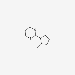 CC1CCC[C]1C1SCCCS1